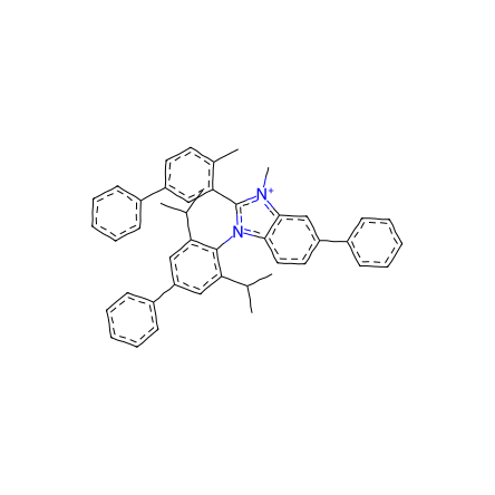 Cc1ccc(-c2ccccc2)cc1-c1n(-c2c(C(C)C)cc(-c3ccccc3)cc2C(C)C)c2ccc(-c3ccccc3)cc2[n+]1C